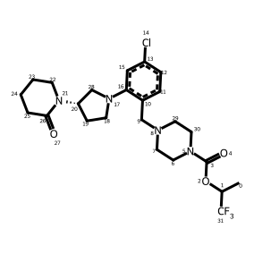 CC(OC(=O)N1CCN(Cc2ccc(Cl)cc2N2CC[C@H](N3CCCCC3=O)C2)CC1)C(F)(F)F